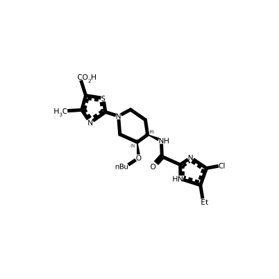 CCCCO[C@H]1CN(c2nc(C)c(C(=O)O)s2)CC[C@H]1NC(=O)c1nc(Cl)c(CC)[nH]1